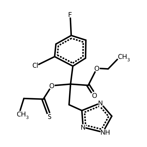 CCOC(=O)C(Cc1nc[nH]n1)(OC(=S)CC)c1ccc(F)cc1Cl